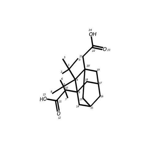 CC(C)(C)C1(C(C)(C)C)C2(CC(=O)O)CC3CC(C2)CC1(CC(=O)O)C3